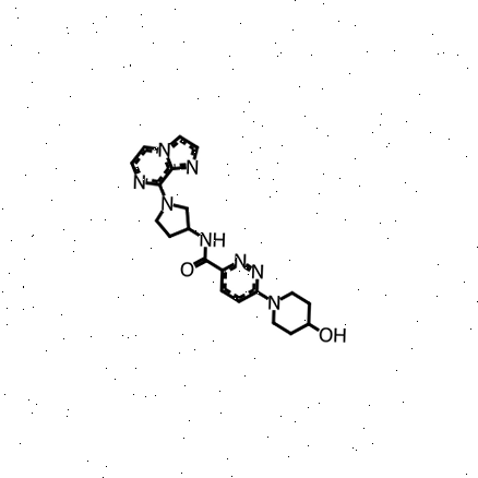 O=C(NC1CCN(c2nccn3ccnc23)C1)c1ccc(N2CCC(O)CC2)nn1